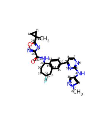 Cn1cc(Nc2nccc(-c3ccc4c(c3)C[C@@H](F)CCC4NC(=O)c3noc(C4(C)CC4)n3)n2)cn1